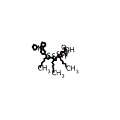 CCCCCCc1cc(-c2sc(-c3sc(/C=C(/C(=O)O)C(F)(F)F)cc3CCCCCC)cc2CCCCCC)sc1-c1ccc2c(c1)c1ccccc1n2-c1ccccc1